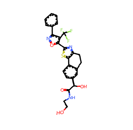 O=C(NCCO)C(O)c1ccc2c(c1)CCc1nc(-c3onc(-c4ccccc4)c3C(F)(F)F)sc1-2